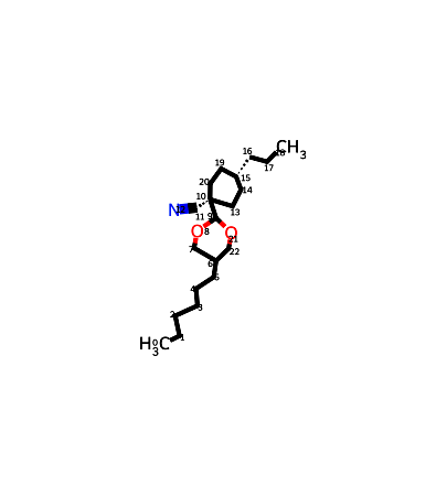 CCCCCCC1COC([C@]2(C#N)CC[C@@H](CCC)CC2)OC1